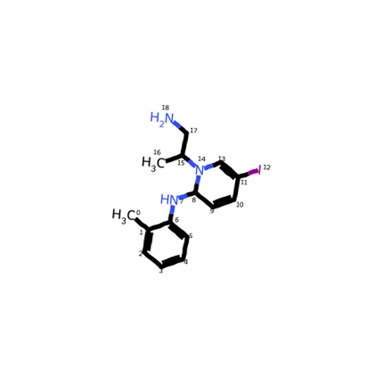 Cc1ccccc1NC1C=CC(I)=CN1C(C)CN